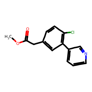 COC(=O)Cc1ccc(Cl)c(-c2cccnc2)c1